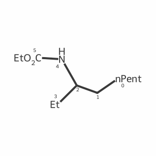 CCC[CH]CCC(CC)NC(=O)OCC